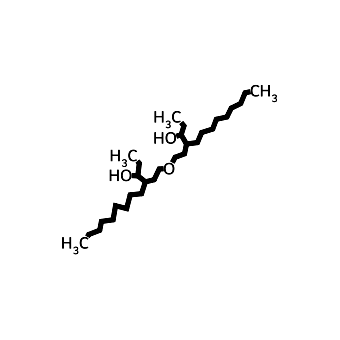 CCCCCCCCCC(CCOCCC(CCCCCCCCC)C(O)CC)C(O)CC